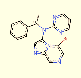 C[C@@H](c1ccccc1)N(c1ncccn1)c1cnc2cncc(Br)n12